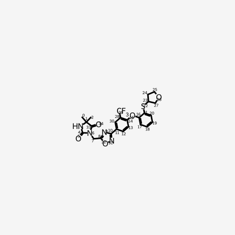 CC1(C)NC(=O)N(Cc2nc(-c3ccc(Oc4ccccc4SC4CCOC4)c(C(F)(F)F)c3)no2)C1=O